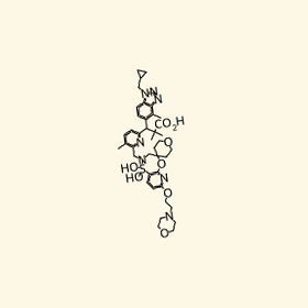 Cc1ccc(C(c2ccc3c(nnn3CC3CC3)c2C)C(C)(C)C(=O)O)nc1CN1CC2(CCOCC2)Oc2nc(OCCN3CCOCC3)ccc2S1(O)O